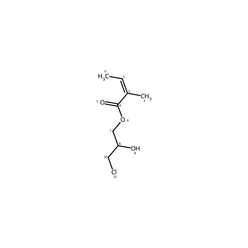 CC=C(C)C(=O)OCC(O)CCl